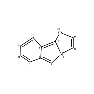 c1ccc2c(c1)cn1ccoc21